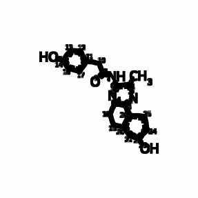 Cc1nc2c(nc1NC(=O)Cc1ccc(O)cc1)CCc1cc(O)ccc1-2